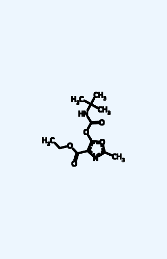 CCOC(=O)c1nc(C)oc1OC(=O)NC(C)(C)C